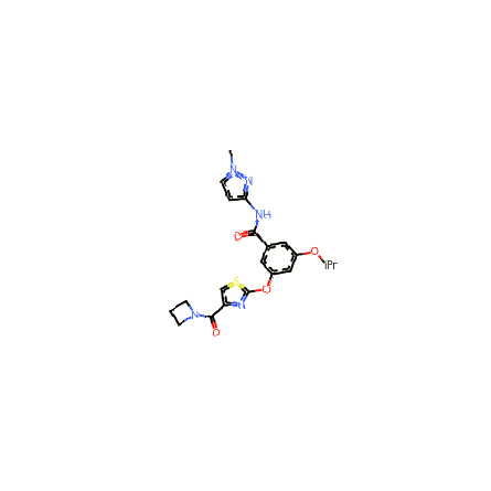 CC(C)Oc1cc(Oc2nc(C(=O)N3CCC3)cs2)cc(C(=O)Nc2ccn(C)n2)c1